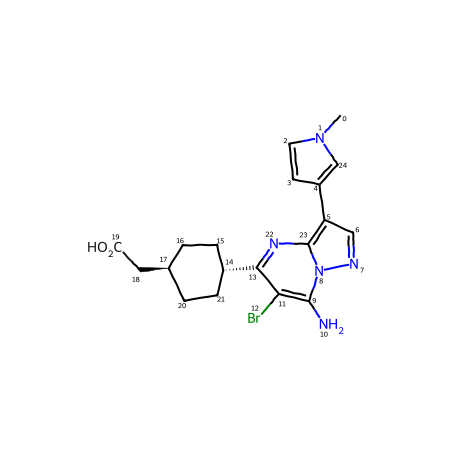 Cn1ccc(-c2cnn3c(N)c(Br)c([C@H]4CC[C@H](CC(=O)O)CC4)nc23)c1